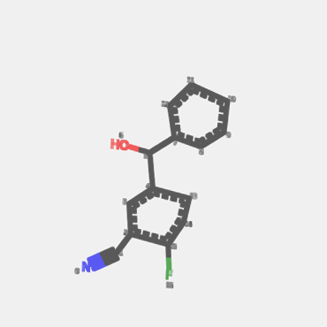 N#Cc1cc(C(O)c2ccccc2)ccc1F